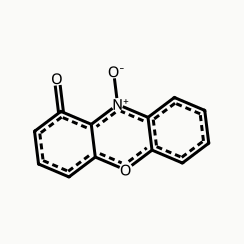 O=c1cccc2oc3ccccc3[n+]([O-])c1-2